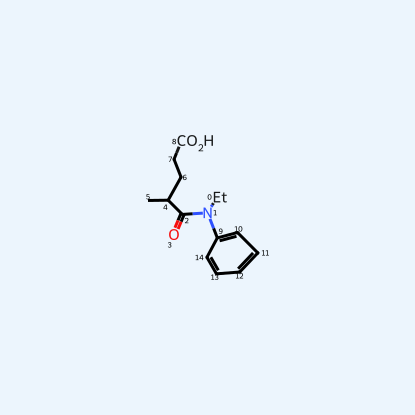 CCN(C(=O)C(C)CCC(=O)O)c1ccccc1